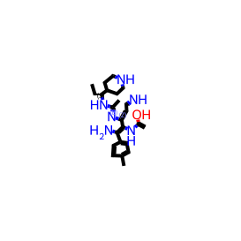 C=C(O)NC(=C(N)c1ccc(C)cc1)C(=C/C=N)/N=C(\C)N[C@@H](CC)C1CCNCC1